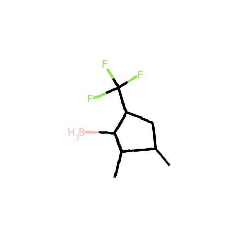 BC1C(C)C(C)CC1C(F)(F)F